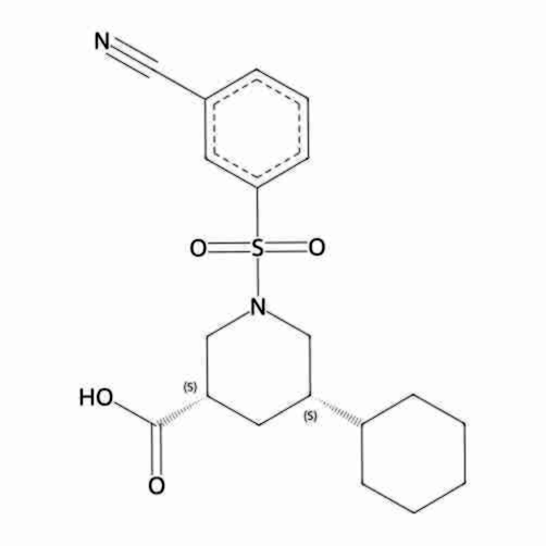 N#Cc1cccc(S(=O)(=O)N2C[C@@H](C(=O)O)C[C@@H](C3CCCCC3)C2)c1